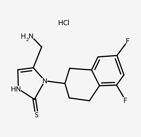 Cl.NCc1c[nH]c(=S)n1C1CCc2c(F)cc(F)cc2C1